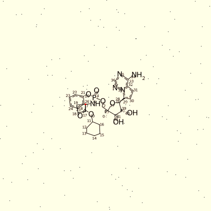 C[C@]1(COP(=O)(NC2(C(=O)OC3CCCCC3)CCC2)Oc2ccccc2)O[C@@H](c2ccc3c(N)ncnn23)[C@H](O)[C@@H]1O